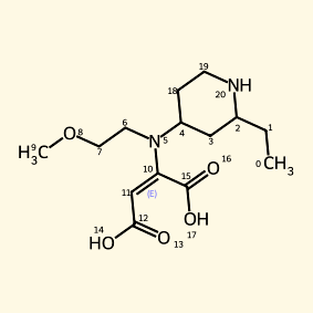 CCC1CC(N(CCOC)/C(=C/C(=O)O)C(=O)O)CCN1